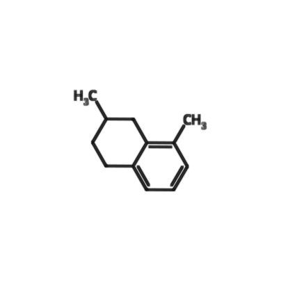 Cc1cccc2c1CC(C)CC2